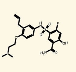 C=CCc1cc(NS(=O)(=O)c2cc(C(N)=O)c(O)cc2F)ccc1OCCN(C)C